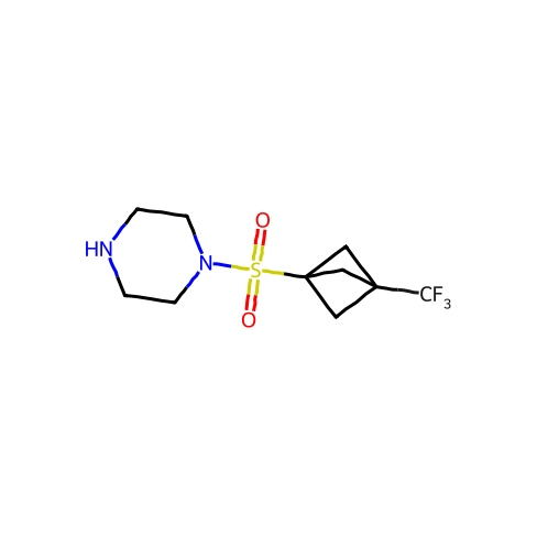 O=S(=O)(N1CCNCC1)C12CC(C(F)(F)F)(C1)C2